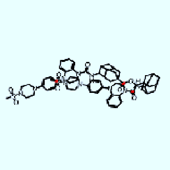 CS(=O)(=O)N1CCN(c2ccc(N3CCN(C(=O)NC4C5CC6CC4CC(C(=O)OC(=O)C47CC8CC(C4)C(NC(=O)N4CCN(c9ccc(N%10CCN(S(C)(=O)=O)CC%10)cc9)c9ccccc94)C(C8)C7)(C6)C5)c4ccccc43)cc2)CC1